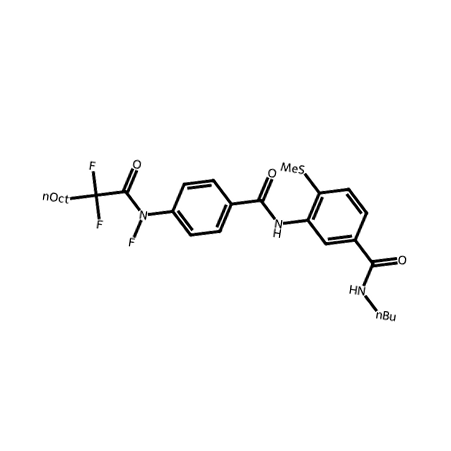 CCCCCCCCC(F)(F)C(=O)N(F)c1ccc(C(=O)Nc2cc(C(=O)NCCCC)ccc2SC)cc1